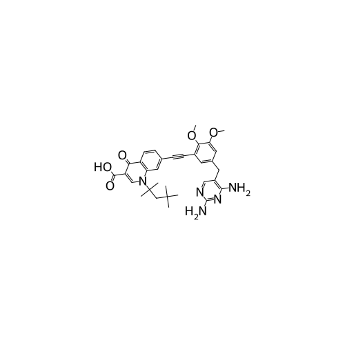 COc1cc(Cc2cnc(N)nc2N)cc(C#Cc2ccc3c(=O)c(C(=O)O)cn(C(C)(C)CC(C)(C)C)c3c2)c1OC